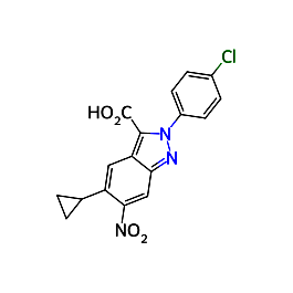 O=C(O)c1c2cc(C3CC3)c([N+](=O)[O-])cc2nn1-c1ccc(Cl)cc1